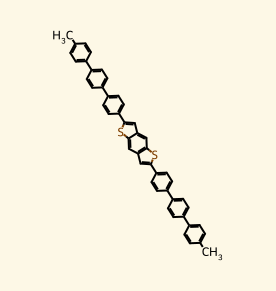 Cc1ccc(-c2ccc(-c3ccc(-c4cc5cc6sc(-c7ccc(-c8ccc(-c9ccc(C)cc9)cc8)cc7)cc6cc5s4)cc3)cc2)cc1